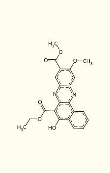 CCOC(=O)c1c(O)c2ccccc2c2nc3cc(OC)c(C(=O)OC)cc3nc12